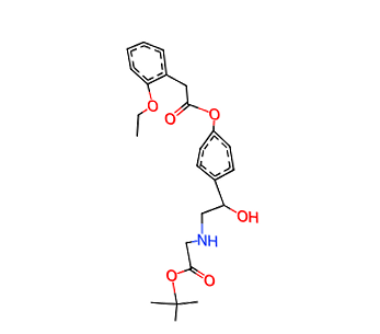 CCOc1ccccc1CC(=O)Oc1ccc(C(O)CNCC(=O)OC(C)(C)C)cc1